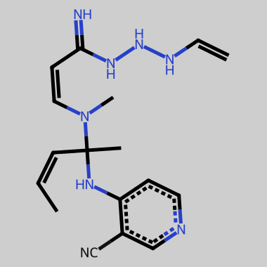 C=CNNNC(=N)/C=C\N(C)C(C)(/C=C\C)Nc1ccncc1C#N